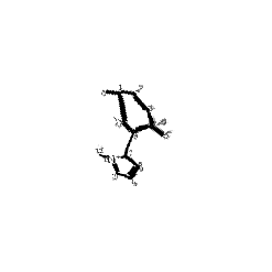 Cc1ccc(C)c(C2C=CC=[N+]2C)c1